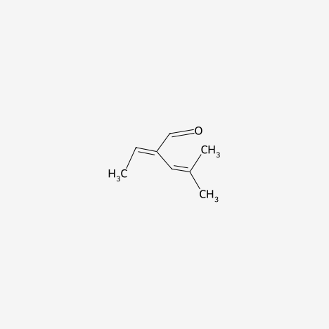 C/C=C(/C=O)C=C(C)C